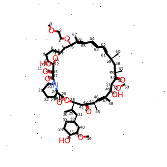 COCCO[C@@H]1C[C@@H]2CC[C@@H](C)[C@@](O)(O2)C(=O)C(=O)N2CCCC[C@H]2C(=O)O[C@H](C(C)C[C@@H]2CC[C@@H](O)[C@H](OC)C2)CC(=O)[C@H](C)/C=C(\C)[C@@H](O)[C@@H](OC)C(=O)[C@H](C)C[C@H](C)/C=C/C=C/C=C/1C